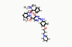 Cc1cccc(C)c1NC(=O)c1cnc(Nc2ccc(OCCCN3CCCCC3)c(F)c2)nc1Oc1ccccc1C(=O)N(C)C